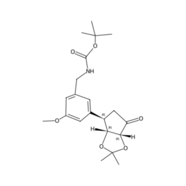 COc1cc(CNC(=O)OC(C)(C)C)cc([C@H]2CC(=O)[C@@H]3OC(C)(C)O[C@H]23)c1